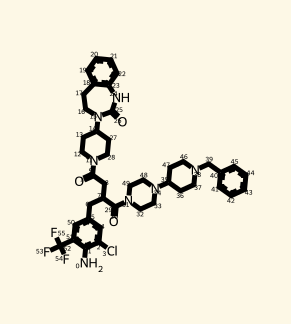 Nc1c(Cl)cc(CC(CC(=O)N2CCC(N3CCc4ccccc4NC3=O)CC2)C(=O)N2CCN(C3CCN(Cc4ccccc4)CC3)CC2)cc1C(F)(F)F